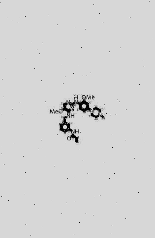 C=CC(=O)Nc1cccc(CNc2nc(Nc3ccc(N4CCN(C)CC4)cc3OC)ncc2OC)c1